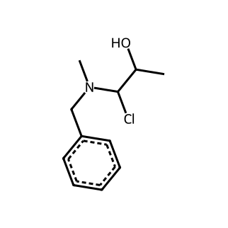 CC(O)C(Cl)N(C)Cc1ccccc1